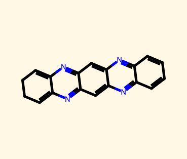 C1=c2nc3cc4nc5ccccc5nc4cc3nc2=CCC1